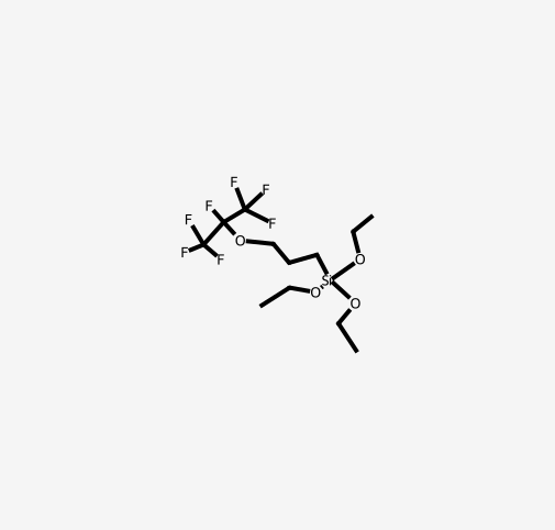 CCO[Si](CCCOC(F)(C(F)(F)F)C(F)(F)F)(OCC)OCC